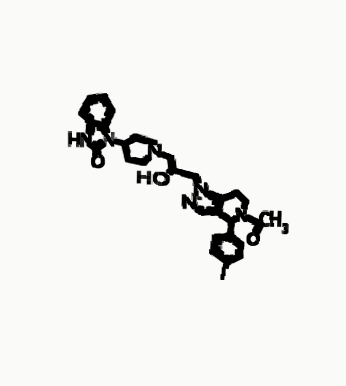 CC(=O)N1CCc2c(cnn2CC(O)CN2CCC(n3c(=O)[nH]c4ccccc43)CC2)C1c1ccc(I)cc1